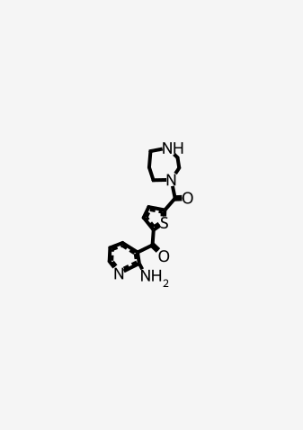 Nc1ncccc1C(=O)c1ccc(C(=O)N2CCCNCC2)s1